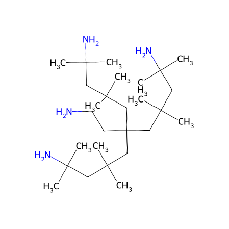 CC(C)(N)CC(C)(C)CC(CCN)(CC(C)(C)CC(C)(C)N)CC(C)(C)CC(C)(C)N